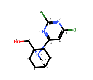 OCC12CCC(CC1)CN2c1cc(Cl)nc(Cl)n1